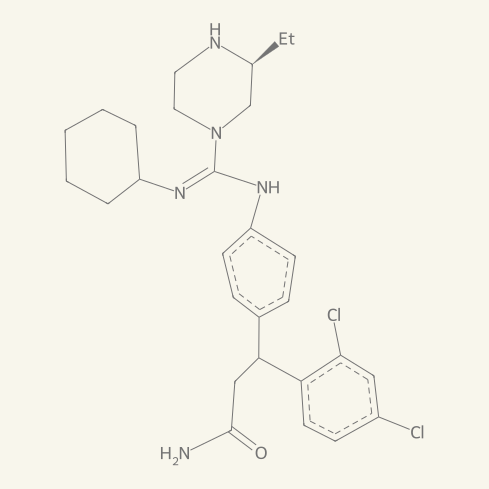 CC[C@H]1CN(/C(=N\C2CCCCC2)Nc2ccc(C(CC(N)=O)c3ccc(Cl)cc3Cl)cc2)CCN1